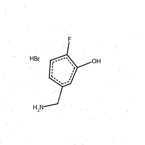 Br.NCc1ccc(F)c(O)c1